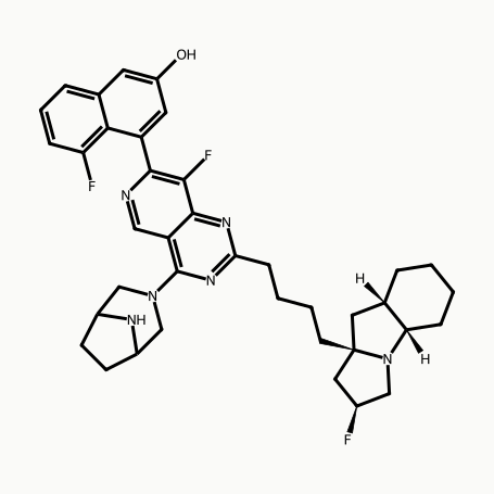 Oc1cc(-c2ncc3c(N4CC5CCC(C4)N5)nc(CCCC[C@]45C[C@H](F)CN4[C@H]4CCCC[C@H]4C5)nc3c2F)c2c(F)cccc2c1